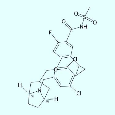 CS(=O)(=O)NC(=O)c1cc(C2CC2)c(OCC2C[C@H]3CC[C@@H](C2)N3Cc2cc(Cl)cc(Cl)c2)cc1F